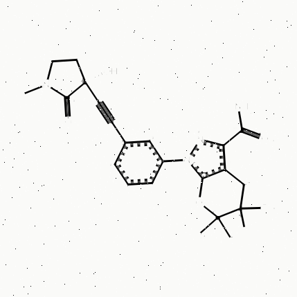 CN1CC[C@@](O)(C#Cc2cccc(-n3nc(C(N)=O)c4c3OC(C)(C)C(F)(F)C4)c2)C1=O